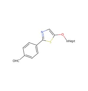 CCCCCCCOc1cnc(-c2ccc(C=O)cc2)s1